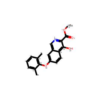 CCCCOC(=O)c1ncc2cc(Oc3c(C)cccc3C)ccc2c1O